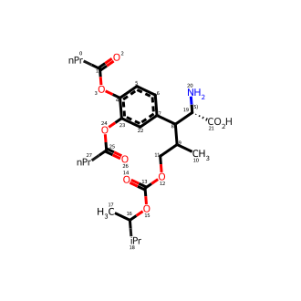 CCCC(=O)Oc1ccc(C(C(C)COC(=O)OC(C)C(C)C)[C@H](N)C(=O)O)cc1OC(=O)CCC